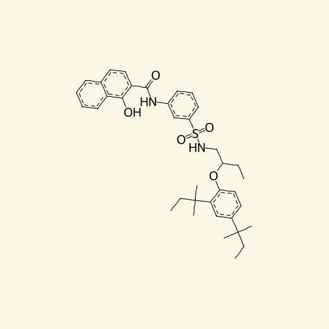 CCC(CNS(=O)(=O)c1cccc(NC(=O)c2ccc3ccccc3c2O)c1)Oc1ccc(C(C)(C)CC)cc1C(C)(C)CC